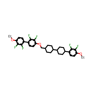 CCOc1ccc(-c2ccc(OCC3CCC(C4CCC(c5ccc(OCC)c(F)c5F)CC4)CC3)c(F)c2F)c(F)c1F